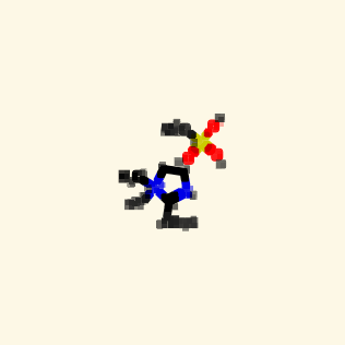 CCCCCCCC1=NCC[N+]1(C)CCC.COS(=O)(=O)[O-]